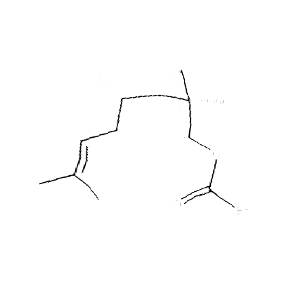 CCC(=O)OC[C@]1(C)C[C@H]1[C@@H](C)CC=C(C)C